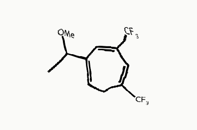 COC(C)C1=CCC(C(F)(F)F)=CC(C(F)(F)F)=C1